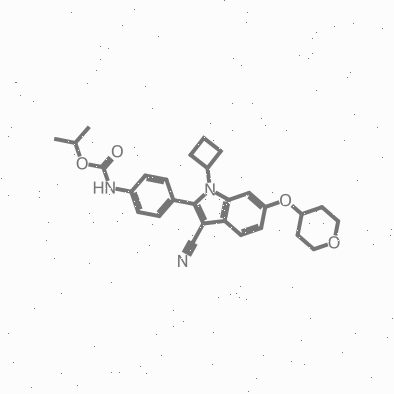 CC(C)OC(=O)Nc1ccc(-c2c(C#N)c3ccc(OC4CCOCC4)cc3n2C2CCC2)cc1